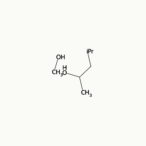 CC(C)CC(C)O.CO